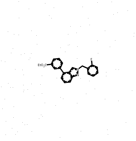 CCOC(=O)c1cccc(-c2cccc3nn(Cc4ccccc4F)cc23)c1